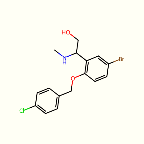 CNC(CO)c1cc(Br)ccc1OCc1ccc(Cl)cc1